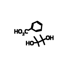 CC(C)(O)C(C)(C)O.O=C(O)c1ccccc1